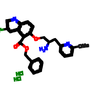 COc1cccc(C[C@@H](N)COc2ccc3ncc(F)cc3c2C(=O)OCc2ccccc2)n1.Cl.Cl